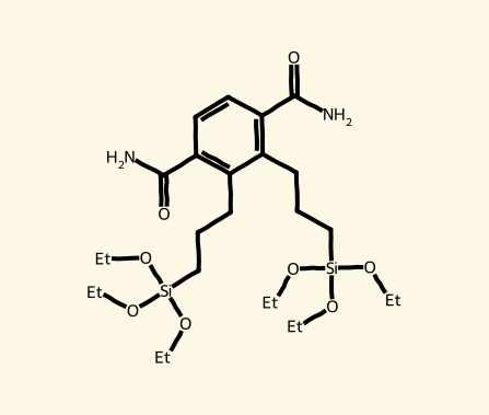 CCO[Si](CCCc1c(C(N)=O)ccc(C(N)=O)c1CCC[Si](OCC)(OCC)OCC)(OCC)OCC